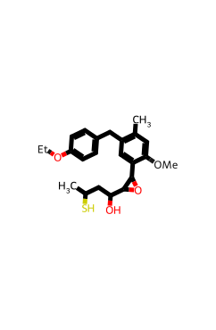 CCOc1ccc(Cc2cc(C3OC3C(O)CC(C)S)c(OC)cc2C)cc1